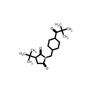 CC(C)(C)C(=O)C1CCC(CN2C(=O)CC(C(C)(C)C)C2=O)CC1